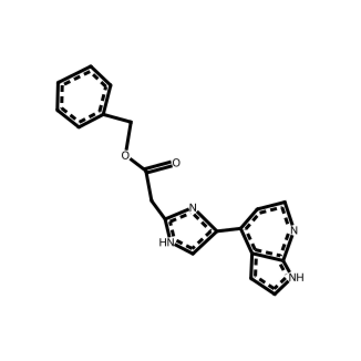 O=C(Cc1nc(-c2ccnc3[nH]ccc23)c[nH]1)OCc1ccccc1